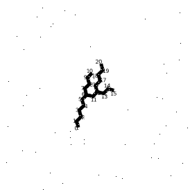 CCCCCCC(CCCC)CC(CCC)CCCCC